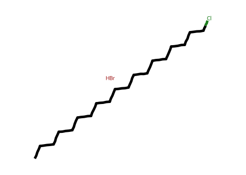 Br.CCCCCCCCCCCCCCCCCCCCl